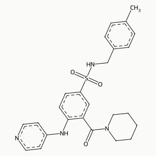 Cc1ccc(CNS(=O)(=O)c2ccc(Nc3ccncc3)c(C(=O)N3CCCCC3)c2)cc1